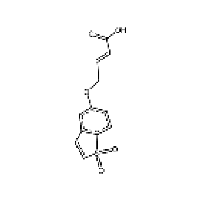 O=C(O)C=CCOc1ccc2c(c1)C=CS2(=O)=O